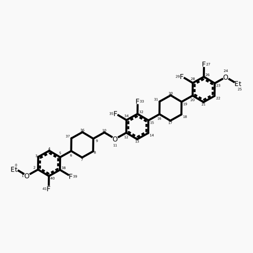 CCOc1ccc(C2CCC(COc3ccc(C4CCC(c5ccc(OCC)c(F)c5F)CC4)c(F)c3F)CC2)c(F)c1F